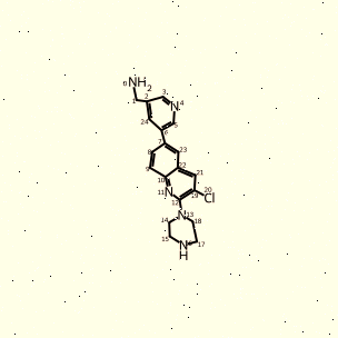 NCc1cncc(-c2ccc3nc(N4CCNCC4)c(Cl)cc3c2)c1